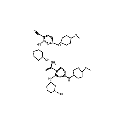 COC1CCC(Nc2ncc(C#N)c(N[C@H]3CCC[C@H](O)C3)n2)CC1.COC1CCC(Nc2ncc(C(N)=O)c(N[C@H]3CCC[C@H](O)C3)n2)CC1